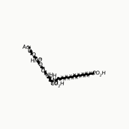 CC(=O)COCCOCCNC(=O)COCCOCCNCCC[C@H](NC(=O)CCCCCCCCCCCCCCCCCCC(=O)O)C(=O)O